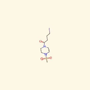 CS(=O)(=O)N1CCN(C(=O)CCCI)CC1